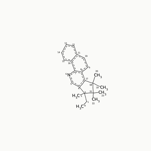 CCC1(C)c2cnc3c(ccc4ccccc43)c2C(C)(C)C1(C)C